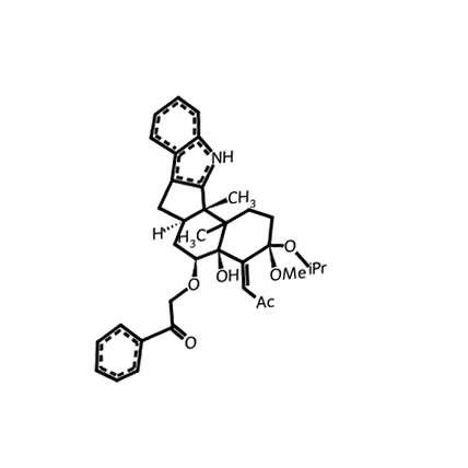 CO[C@]1(OC(C)C)CCC2(C)[C@@]3(C)c4[nH]c5ccccc5c4C[C@@H]3C[C@H](OCC(=O)c3ccccc3)[C@@]2(O)/C1=C/C(C)=O